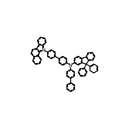 C1=CCCC(C2(c3ccccc3)c3ccccc3-c3ccc(N(c4ccc(-c5ccccc5)cc4)c4ccc(-c5ccc(-n6c7ccccc7c7ccc8ccccc8c76)cc5)cc4)cc32)=C1